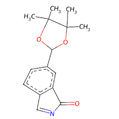 CC1(C)OC(c2ccc3c(c2)C(=O)N=C3)OC1(C)C